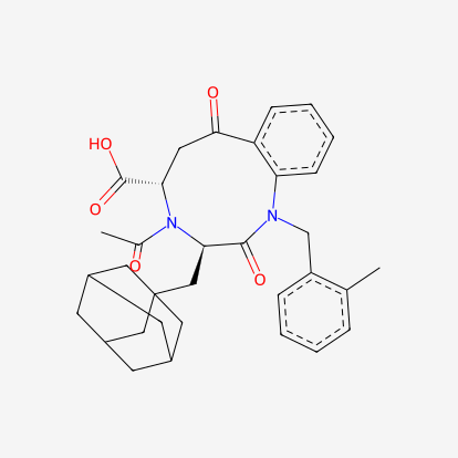 CC(=O)N1[C@H](CC23CC4CC(CC(C4)C2)C3)C(=O)N(Cc2ccccc2C)c2ccccc2C(=O)C[C@H]1C(=O)O